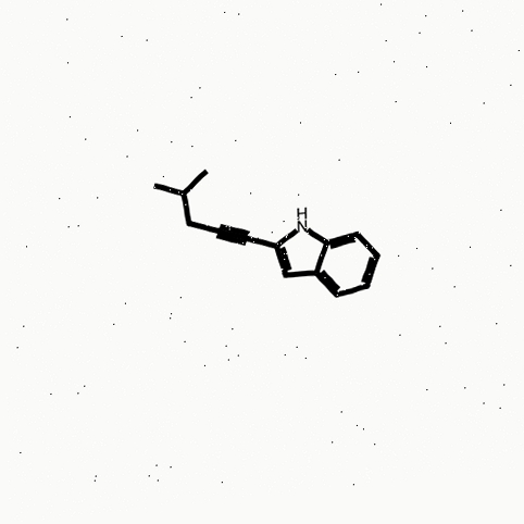 CC(C)CC#Cc1cc2ccccc2[nH]1